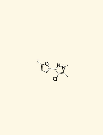 Cc1ccc(-c2nn(C)c(C)c2Cl)o1